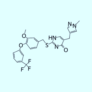 COc1cc(CSc2nc(=O)c(Cc3cnn(C)c3)c[nH]2)ccc1Oc1cccc(C(F)(F)F)c1